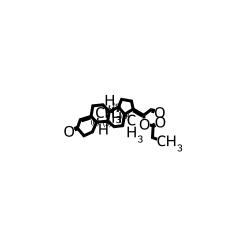 CCC(=O)OC(C=O)=C1CC[C@H]2[C@@H]3CCC4=CC(=O)CC[C@]4(C)[C@H]3CC[C@]12C